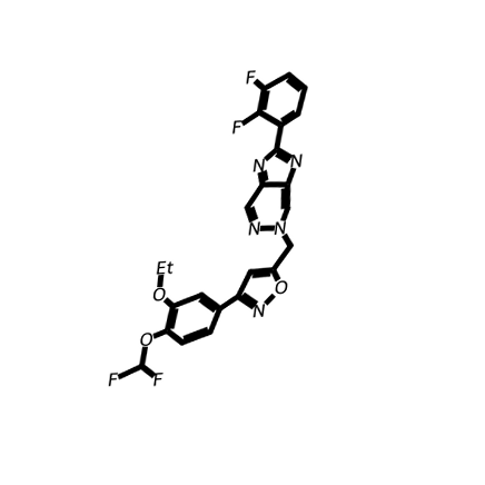 CCOc1cc(-c2cc(Cn3cc4nc(-c5cccc(F)c5F)nc-4cn3)on2)ccc1OC(F)F